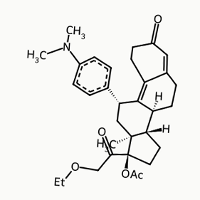 CCOCC(=O)[C@@]1(OC(C)=O)CC[C@H]2[C@@H]3CCC4=CC(=O)CCC4=C3[C@@H](c3ccc(N(C)C)cc3)C[C@@]21C